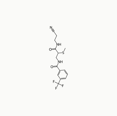 CSC(CNC(=O)c1cccc(C(F)(F)F)c1)C(=O)NCCC#N